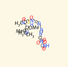 COc1cc(-c2cn(C)c(=O)c3cc(C(=O)NCC4CC5CN(CCCN6CCN(c7ccc8c(c7)C(=O)N(C7CCC(=O)NC7=O)C8=O)CC6)CC5C4)sc23)cc(OC)c1CN(C)C